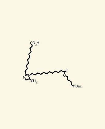 CCCCCCCCCCCCCCOC(=O)CCCCCCCCCCCN1C(CCCCCCCCCCC(=O)O)=NCC1C